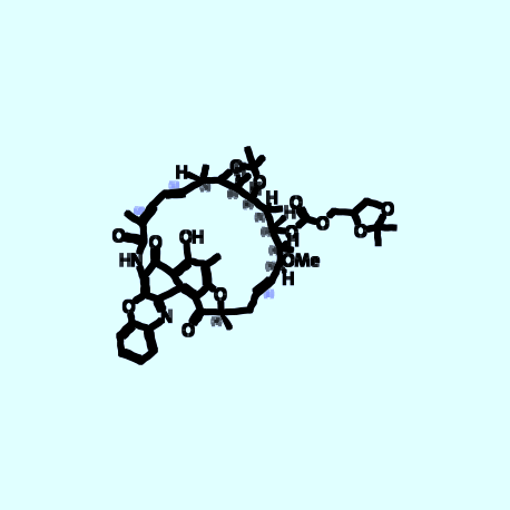 CO[C@H]1/C=C/C[C@@]2(C)Oc3c(C)c(O)c4c(=O)c(c5oc6ccccc6nc-5c4c3C2=O)NC(=O)/C(C)=C\C=C\[C@H](C)C2OC(C)(C)O[C@@H]([C@@H](C)[C@H](OC(=O)OCC3COC(C)(C)O3)[C@@H]1C)[C@@H]2C